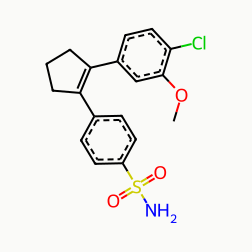 COc1cc(C2=C(c3ccc(S(N)(=O)=O)cc3)CCC2)ccc1Cl